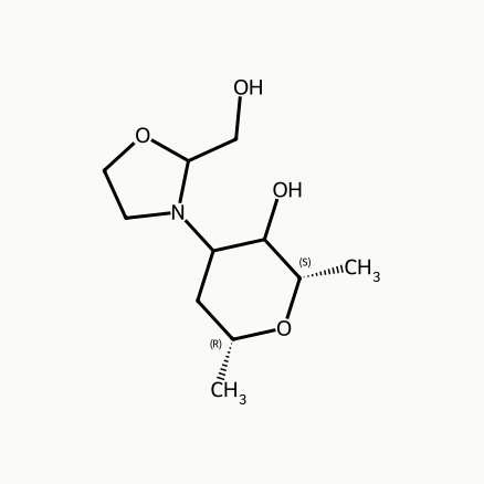 C[C@@H]1CC(N2CCOC2CO)C(O)[C@H](C)O1